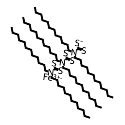 CCCCCCCCCCCCN(CCCCCCCCCCCC)C(=S)[S-].CCCCCCCCCCCCN(CCCCCCCCCCCC)C(=S)[S-].CCCCCCCCCCCCN(CCCCCCCCCCCC)C(=S)[S-].[Fe+3]